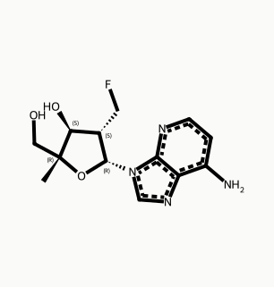 C[C@]1(CO)O[C@@H](n2cnc3c(N)ccnc32)[C@@H](CF)[C@@H]1O